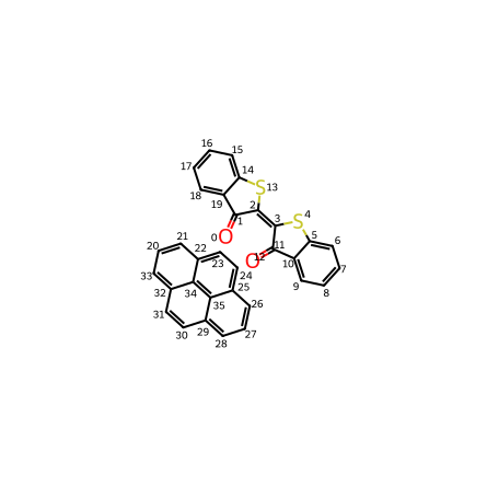 O=C1/C(=C2/Sc3ccccc3C2=O)Sc2ccccc21.c1cc2ccc3cccc4ccc(c1)c2c34